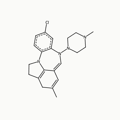 CC1=CC2=CN(N3CCN(C)CC3)c3cc(Cl)ccc3N3CCC(=C23)C1